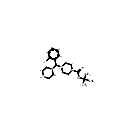 CC(C)(C)OC(=O)N1CCN(C(c2ccccc2F)N2CCOCC2)CC1